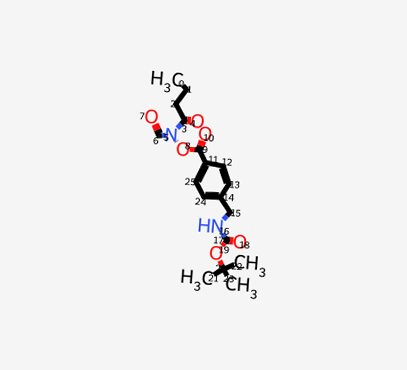 CCCC(=O)N(C=O)OC(=O)c1ccc(CNC(=O)OC(C)(C)C)cc1